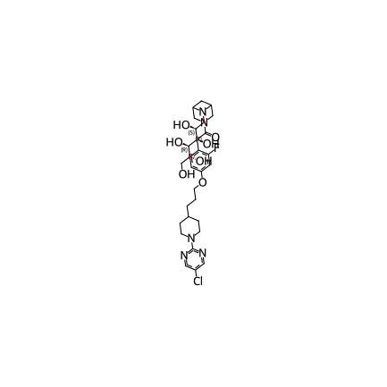 O=C(Cc1ccc(OCCCC2CCN(c3ncc(Cl)cn3)CC2)cc1F)N1CC2CC(C1)N2C[C@H](O)[C@@H](O)[C@H](O)[C@H](O)CO